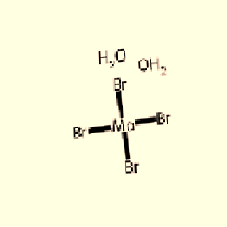 O.O.[Br][Mo]([Br])([Br])[Br]